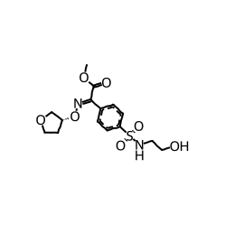 COC(=O)/C(=N/O[C@@H]1CCOC1)c1ccc(S(=O)(=O)NCCO)cc1